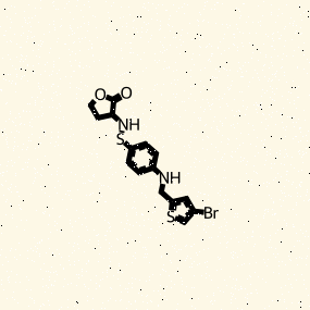 O=C1OCCC1NSc1ccc(NCc2cc(Br)cs2)cc1